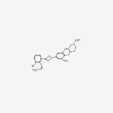 C/C=C\c1c(CC)cccc1N1CC(c2cc(C)c(CN3CCC(C(=O)O)CC3)c(C)c2)C1